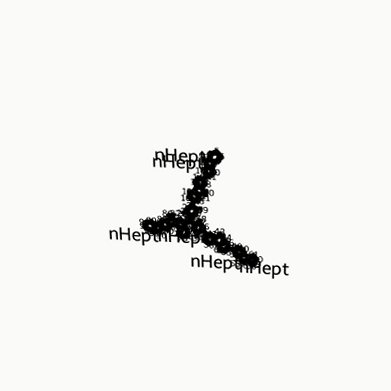 CCCCCCCC1(CCCCCCC)c2ccccc2-c2ccc(-c3ccc4c(c3)C(C)(C)c3cc(-c5cc(C)c(N(c6cc(C)c(-c7ccc8c(c7)C(C)(C)c7cc(-c9ccc%10c(c9)C(CCCCCCC)(CCCCCCC)c9ccccc9-%10)ccc7-8)cc6C)c6cc7c(c8ccccc68)-c6cc8c(cc6C7(C)C)-c6ccccc6C8(CCCCCCC)CCCCCCC)cc5C)ccc3-4)cc21